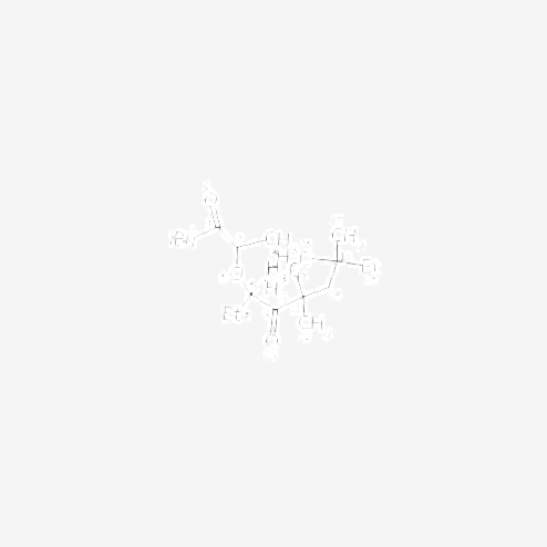 CCC(C)C(=O)C(C)OC(C)(CC)C(=O)C(C)(C)CC(C)(C)CC